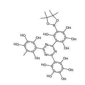 Cc1c(O)c(O)c(O)c(-c2nc(-c3c(O)c(O)c(O)c(O)c3O)nc(-c3c(O)c(O)c(O)c(B4OC(C)(C)C(C)(C)O4)c3O)n2)c1O